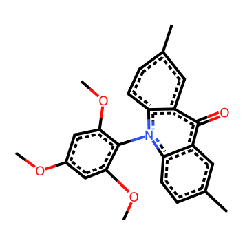 COc1cc(OC)c(-n2c3ccc(C)cc3c(=O)c3cc(C)ccc32)c(OC)c1